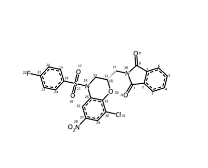 O=C1c2ccccc2C(=O)N1C[C@H]1CN(S(=O)(=O)c2ccc(F)cc2)c2cc([N+](=O)[O-])cc(Cl)c2O1